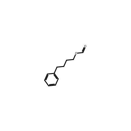 O=COCCCCc1ccccc1